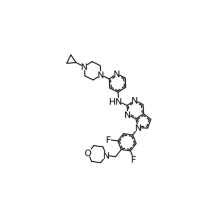 Fc1cc(-n2ccc3cnc(Nc4ccnc(N5CCN(C6CC6)CC5)c4)nc32)cc(F)c1CN1CCOCC1